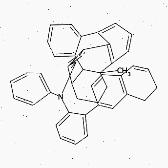 CC12CCCC3c4c(cccc4N(c4ccccc4)c4ccccc4-c4ccc5c(c4)CCC=C5)-c4c(cccc41)-c1ccccc1C32